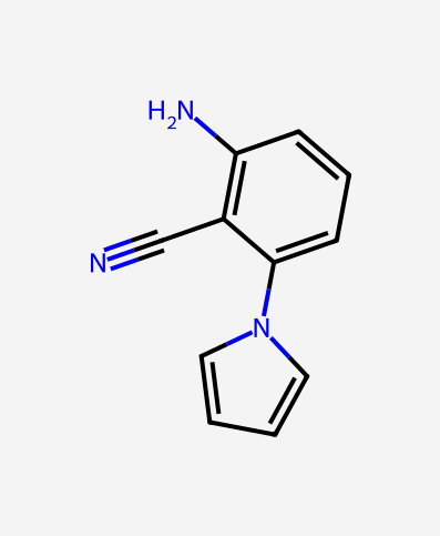 N#Cc1c(N)cccc1-n1cccc1